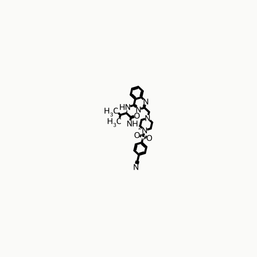 CC(C)[C@H](Nc1nc(CN2CCN(S(=O)(=O)c3ccc(C#N)cc3)CC2)nc2ccccc12)C(N)=O